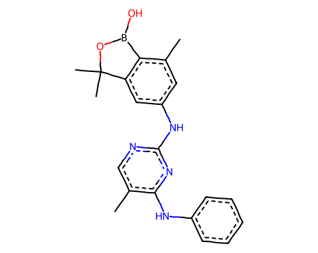 Cc1cnc(Nc2cc(C)c3c(c2)C(C)(C)OB3O)nc1Nc1ccccc1